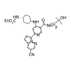 CCOC(=O)N[C@H]1CC[C@H](Nc2cc(-c3ccc4cc(C#N)cnn34)ncc2C(=O)NC[C@@H](F)C(C)(C)O)CC1